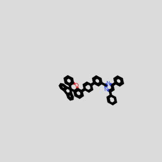 C1=CC(c2cc(-c3ccccc3)nc(-c3cccc(C4C=CC(c5cccc6c5Oc5ccccc5C65c6ccccc6-c6ccccc65)CC4)c3)n2)CCC1